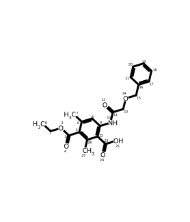 CCOC(=O)c1c(C)cc(NC(=O)COCc2ccccc2)c(C(=O)O)c1C